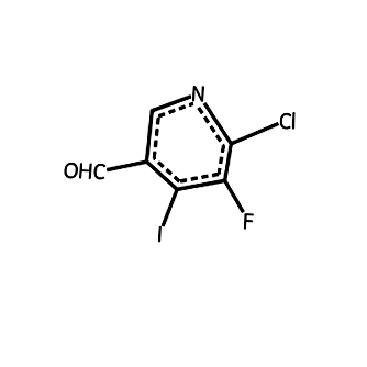 O=Cc1cnc(Cl)c(F)c1I